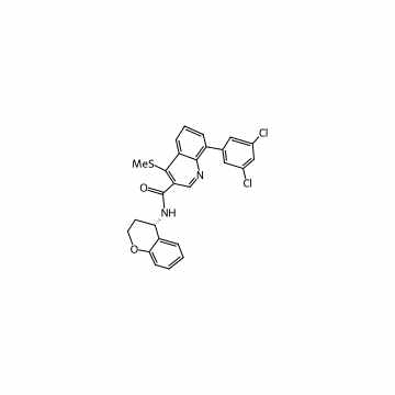 CSc1c(C(=O)N[C@H]2CCOc3ccccc32)cnc2c(-c3cc(Cl)cc(Cl)c3)cccc12